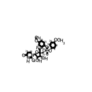 COc1ccc(OP(=S)(OC[C@]2(C(F)F)O[C@H](n3ccc(=O)[nH]c3=O)C(O)C2O)Oc2ccc(OC)cc2)cc1